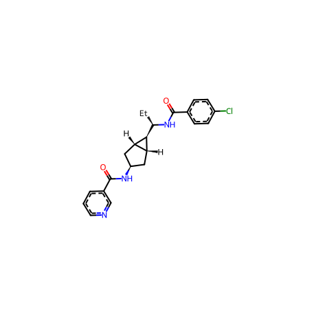 CC[C@@H](NC(=O)c1ccc(Cl)cc1)[C@H]1[C@@H]2C[C@@H](NC(=O)c3cccnc3)C[C@@H]21